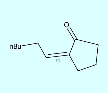 CCCCC/C=C1/CCCC1=O